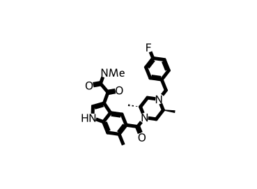 CNC(=O)C(=O)c1c[nH]c2cc(C)c(C(=O)N3C[C@H](C)N(Cc4ccc(F)cc4)C[C@H]3C)cc12